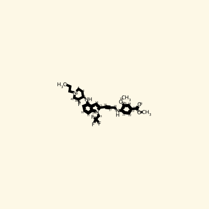 CCCN1CC[C@@H](Nc2cccc3c2cc(C#CCNc2ccc(C(=O)OC)cc2OC)n3CC(F)(F)F)[C@@H](F)C1